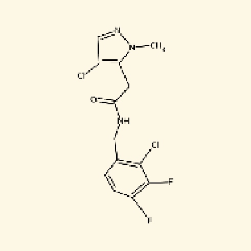 Cn1ncc(Cl)c1CC(=O)NCc1ccc(F)c(F)c1Cl